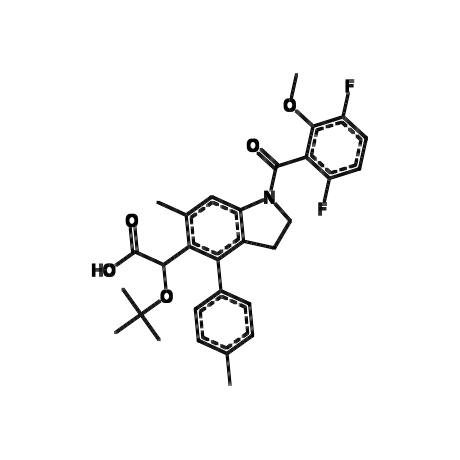 COc1c(F)ccc(F)c1C(=O)N1CCc2c1cc(C)c(C(OC(C)(C)C)C(=O)O)c2-c1ccc(C)cc1